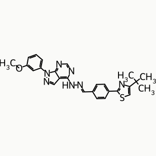 COc1cccc(-n2ncc3c(N/N=C/c4ccc(-c5nc(C(C)(C)C)cs5)cc4)ncnc32)c1